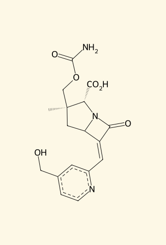 C[C@@]1(COC(N)=O)CC2/C(=C\c3cc(CO)ccn3)C(=O)N2[C@H]1C(=O)O